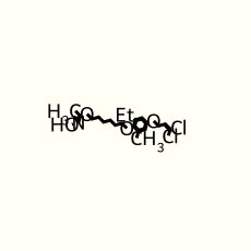 CCc1cc(OCC=C(Cl)Cl)cc(C)c1OCCCCCCOC(C)=NO